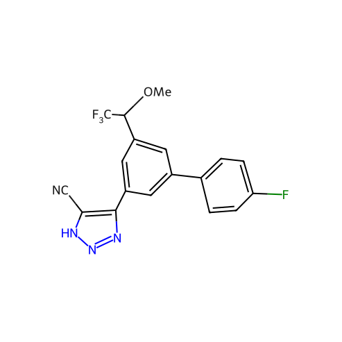 COC(c1cc(-c2ccc(F)cc2)cc(-c2nn[nH]c2C#N)c1)C(F)(F)F